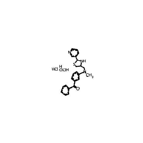 CN(CC1CSC(c2cccnc2)N1)c1cccc(C(=O)c2ccccc2)c1.Cl.Cl.Cl